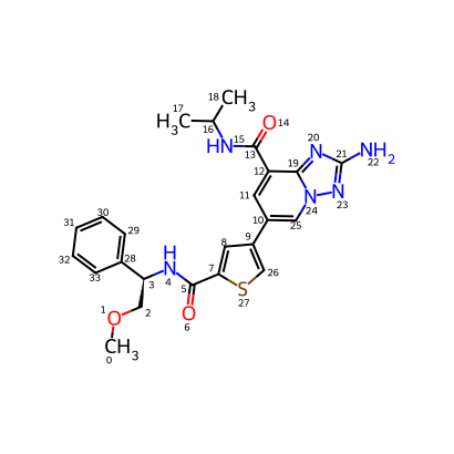 COC[C@H](NC(=O)c1cc(-c2cc(C(=O)NC(C)C)c3nc(N)nn3c2)cs1)c1ccccc1